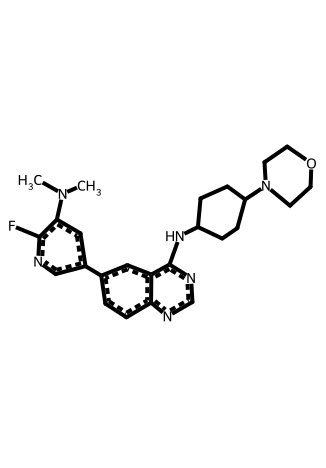 CN(C)c1cc(-c2ccc3ncnc(NC4CCC(N5CCOCC5)CC4)c3c2)cnc1F